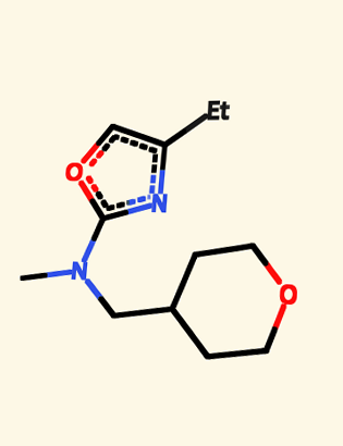 CCc1coc(N(C)CC2CCOCC2)n1